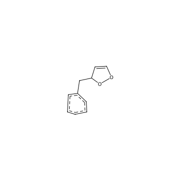 C1=CC(Cc2ccccc2)OO1